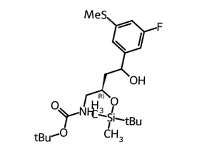 CSc1cc(F)cc(C(O)C[C@H](CNC(=O)OC(C)(C)C)O[Si](C)(C)C(C)(C)C)c1